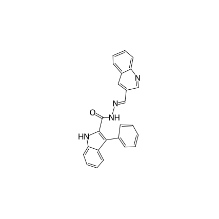 O=C(NN=Cc1cnc2ccccc2c1)c1[nH]c2ccccc2c1-c1ccccc1